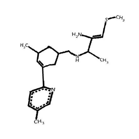 CS/C=C(\N)C(C)NCC1CC(c2ccc(C)cn2)=CC(C)C1